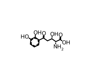 N[C@H](C(=O)O)[C@H](O)CC(=O)c1cccc(O)c1O